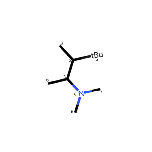 CC(C(C)C(C)(C)C)N(C)C